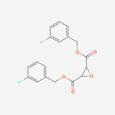 O=C(OCc1cccc(F)c1)C1OC1C(=O)OCc1cccc(F)c1